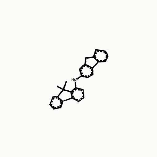 CC1(C)c2ccccc2-c2cccc(Nc3ccc4c(c3)Cc3ccccc3-4)c21